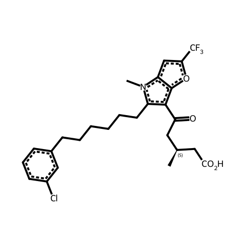 C[C@H](CC(=O)O)CC(=O)c1c(CCCCCCc2cccc(Cl)c2)n(C)c2cc(C(F)(F)F)oc12